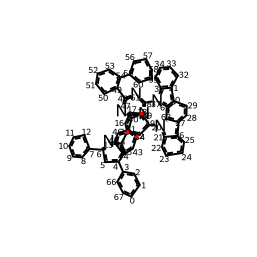 c1ccc(-c2cc(-c3ccccc3)nc(-c3cccc(-n4c5ccccc5c5ccc6c7ccccc7n(-c7nc(-c8ccccc8)nc(-c8ccccc8-c8ccccc8)n7)c6c54)c3)c2)cc1